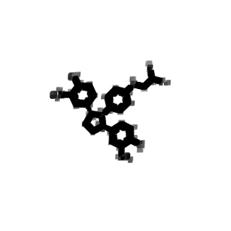 O=[N+]([O-])c1cc([C@H]2CC[C@H](c3ccc(Cl)c([N+](=O)[O-])c3)N2c2ccc(OCC(F)F)cc2)ccc1Cl